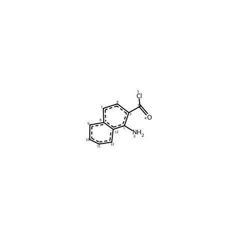 Nc1c(C(=O)Cl)ccc2ccccc12